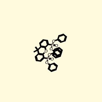 CC1(C)c2cccc(P(=O)(Oc3ccccc3)Oc3ccccc3)c2Oc2c1cccc2P(=O)(Oc1ccccc1)Oc1ccccc1